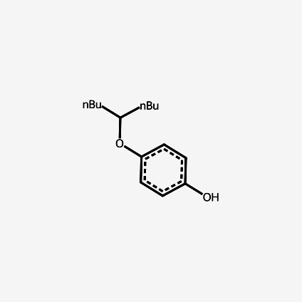 CCCCC(CCCC)Oc1ccc(O)cc1